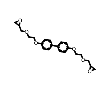 c1cc(-c2ccc(OCCOCC3CO3)cc2)ccc1OCCOCC1CO1